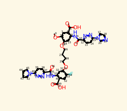 COc1cc(C(=O)O)c(NC(=O)c2ccc(-n3ccnc3)nn2)cc1OCCCCOc1cc(NC(=O)c2ccc(-n3cccc3)nn2)c(C(=O)O)cc1F